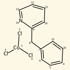 [Cl][Co]([Cl])[Cl].c1ccc(Cc2ccccn2)cc1